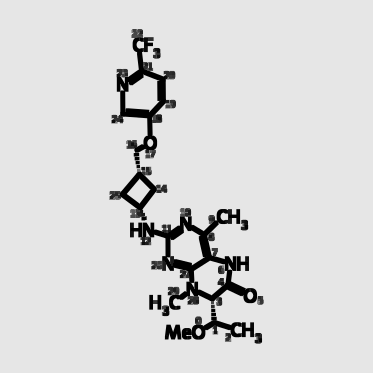 COC(C)[C@H]1C(=O)Nc2c(C)nc(N[C@H]3C[C@@H](COc4ccc(C(F)(F)F)nc4)C3)nc2N1C